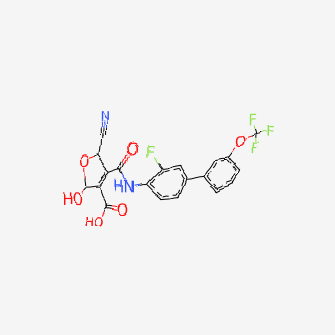 N#CC1OC(O)C(C(=O)O)=C1C(=O)Nc1ccc(-c2cccc(OC(F)(F)F)c2)cc1F